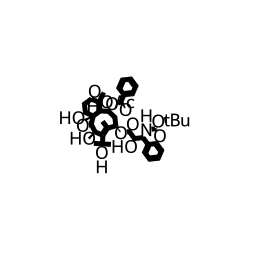 CC(=O)O[C@@]12COC1C[C@H](O)[C@@]1(C)C(=O)[C@H](O)/C(C(C)(C)O)=C(\C)[C@@H](OC(=O)[C@H](O)C(NC(=O)OC(C)(C)C)c3ccccc3)C[C@@H](OC(=O)c3ccccc3)[C@@H]12